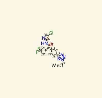 COCn1nnc(-c2ccc(C(C(=O)Nc3ncc(Cl)s3)C3CCC(F)(F)C3)cc2)n1